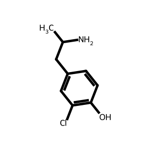 CC(N)Cc1ccc(O)c(Cl)c1